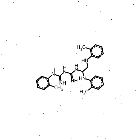 Cc1ccccc1NCC(NC(=N)NC(=N)Nc1ccccc1C)Nc1ccccc1C